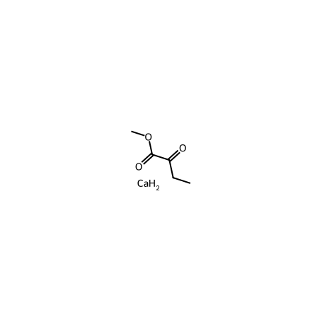 CCC(=O)C(=O)OC.[CaH2]